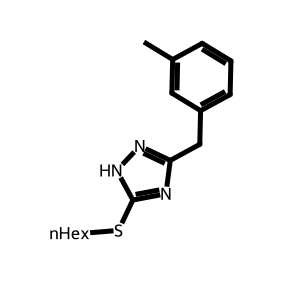 CCCCCCSc1nc(Cc2cccc(C)c2)n[nH]1